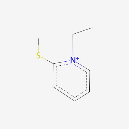 CC[n+]1ccccc1SC